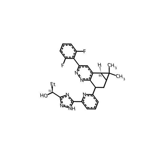 CC[C@H](O)c1n[nH]c(-c2cccc(C3CC4[C@@H](c5cc(-c6c(F)cccc6F)nnc53)C4(C)C)n2)n1